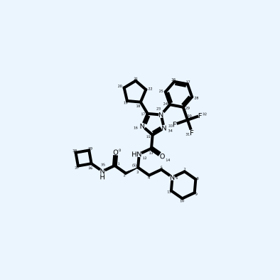 O=C(C[C@H](CCN1CCCCC1)NC(=O)c1nc(C2CCCC2)n(-c2ccccc2C(F)(F)F)n1)NC1CCC1